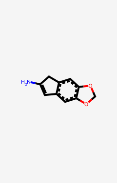 NC1=Cc2cc3c(cc2C1)OCO3